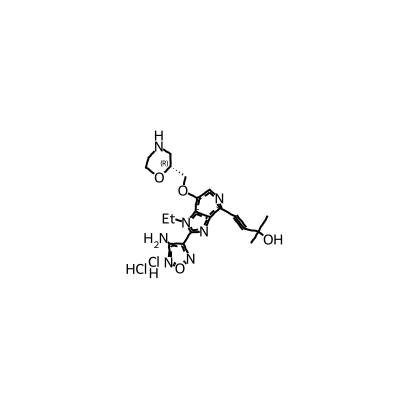 CCn1c(-c2nonc2N)nc2c(C#CC(C)(C)O)ncc(OC[C@H]3CNCCO3)c21.Cl.Cl